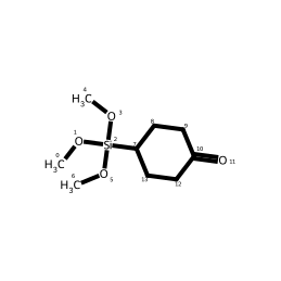 CO[Si](OC)(OC)C1CCC(=O)CC1